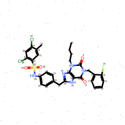 CCCCn1c(=O)n(Cc2ccccc2F)c(=O)c2[nH]c(Cc3ccc(NS(=O)(=O)c4cc(C)c(Cl)cc4Cl)cc3)nc21